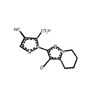 N#Cc1cnn(-c2nn3c(c2Cl)CCCC3)c1C(=O)O